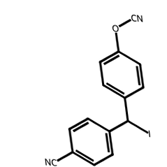 N#COc1ccc(C(I)c2ccc(C#N)cc2)cc1